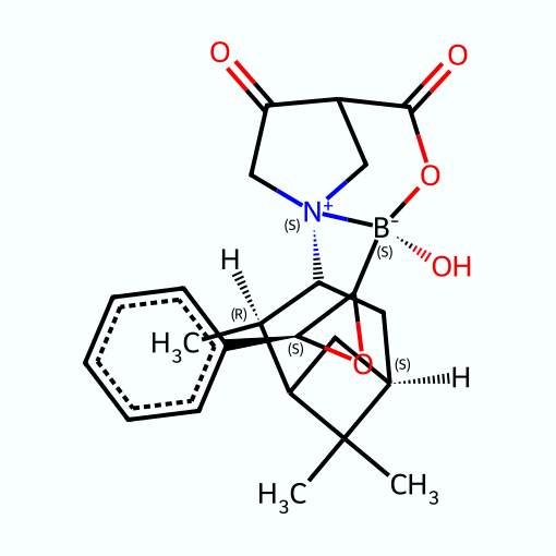 C[C@@H]1C2C[C@@H](CC1[N@+]13CC(=O)C(C1)C(=O)O[B@@-]3(O)C1O[C@H]1c1ccccc1)C2(C)C